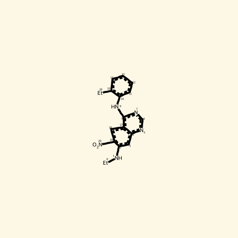 CCNc1cc2ncnc(Nc3ccccc3CC)c2cc1[N+](=O)[O-]